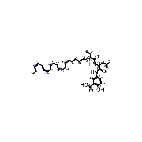 CC/C=C\C/C=C\C/C=C\C/C=C\C/C=C\CCCCS[C@@H](CC)C(=O)NC(CC(C)C)C(=O)Nc1ccc(O)c(C(=O)O)c1